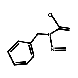 C=NN(Cc1ccccc1)C(=C)Cl